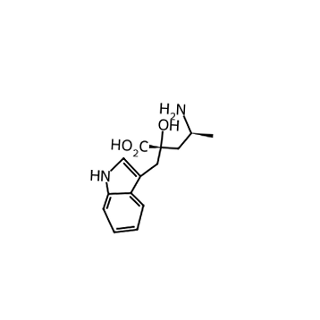 C[C@H](N)C[C@@](O)(Cc1c[nH]c2ccccc12)C(=O)O